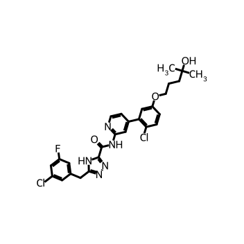 CC(C)(O)CCCOc1ccc(Cl)c(-c2ccnc(NC(=O)c3nnc(Cc4cc(F)cc(Cl)c4)[nH]3)c2)c1